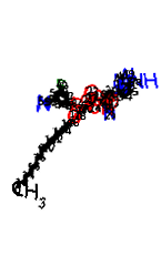 CCCCCCCCCCCCCCCCCOC[C@H](COP(=O)(O)OC[C@]1(C#N)CC[C@H](c2ccc3c(N)ncnn23)O1)OCc1cc(F)cc(C#N)c1